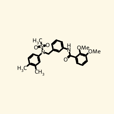 COc1cccc(C(=O)Nc2cccc(CN(c3ccc(C)c(C)c3)S(C)(=O)=O)c2)c1OC